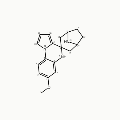 COc1ccc2c(c1)NC1(CC3CCC(C1)N3)c1cccn1-2